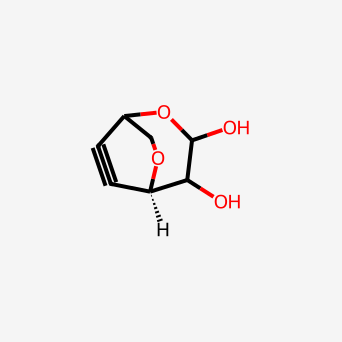 OC1OC2C#C[C@@H](OC2)C1O